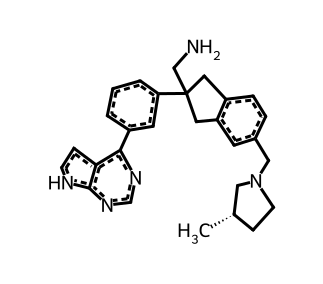 C[C@H]1CCN(Cc2ccc3c(c2)CC(CN)(c2cccc(-c4ncnc5[nH]ccc45)c2)C3)C1